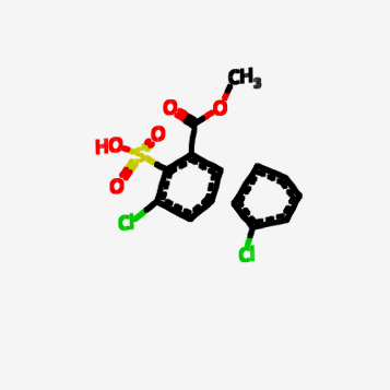 COC(=O)c1cccc(Cl)c1S(=O)(=O)O.Clc1ccccc1